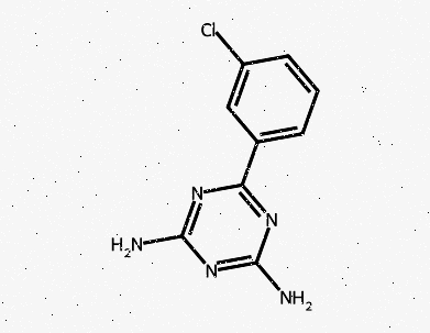 Nc1nc(N)nc(-c2cccc(Cl)c2)n1